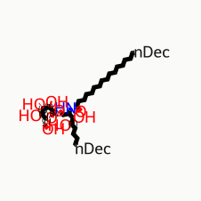 CCCCCCCCCCCCCCCCCCCCCCCCCC(=O)NC(CO[C@H]1O[C@H](CO)[C@H](O)[C@H](O)[C@H]1O)C(O)[C@H](O)CCCCCCCCCCCCCC